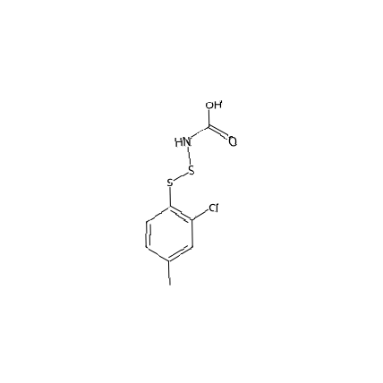 Cc1ccc(SSNC(=O)O)c(Cl)c1